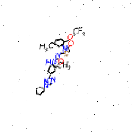 Cc1ccc(COCC(F)(F)F)c(N2C(=O)CS/C2=N\C(=O)Nc2ccc(-c3ncn(-c4ccccc4)n3)cc2C)c1